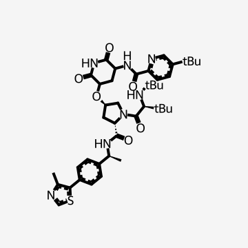 Cc1ncsc1-c1ccc([C@H](C)NC(=O)[C@@H]2C[C@@H](OC3CC(NC(=O)c4ccc(C(C)(C)C)cn4)C(=O)NC3=O)CN2C(=O)[C@@H](NC(C)(C)C)C(C)(C)C)cc1